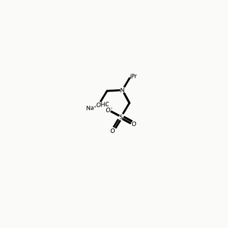 CC(C)N(CC=O)CS(=O)(=O)[O-].[Na+]